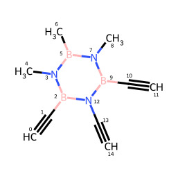 C#CB1N(C)B(C)N(C)B(C#C)N1C#C